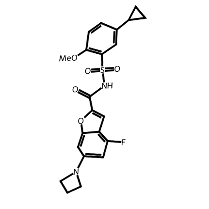 COc1ccc(C2CC2)cc1S(=O)(=O)NC(=O)c1cc2c(F)cc(N3CCC3)cc2o1